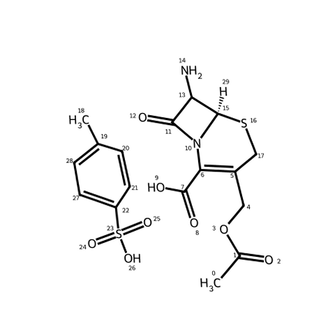 CC(=O)OCC1=C(C(=O)O)N2C(=O)C(N)[C@H]2SC1.Cc1ccc(S(=O)(=O)O)cc1